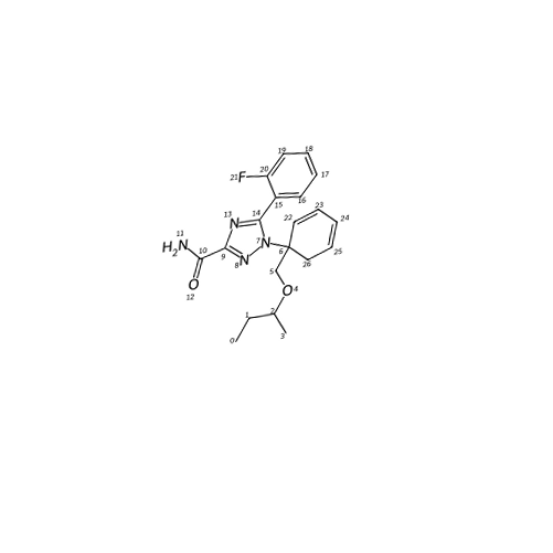 CCC(C)OCC1(n2nc(C(N)=O)nc2-c2ccccc2F)C=CC=CC1